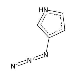 [N-]=[N+]=Nc1cc[nH]c1